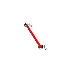 NC(=O)CCCCCCCCCCCCCCCCCCCCCCCCCCCCCCCCCCCCCCCCCCCCCCCC(N)=O